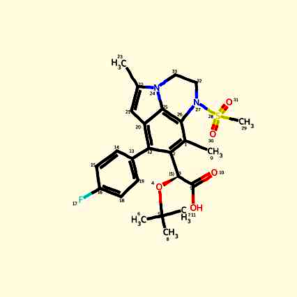 Cc1c([C@H](OC(C)(C)C)C(=O)O)c(-c2ccc(F)cc2)c2cc(C)n3c2c1N(S(C)(=O)=O)CC3